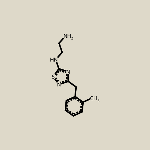 Cc1ccccc1Cc1nsc(NCCN)n1